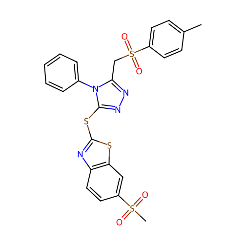 Cc1ccc(S(=O)(=O)Cc2nnc(Sc3nc4ccc(S(C)(=O)=O)cc4s3)n2-c2ccccc2)cc1